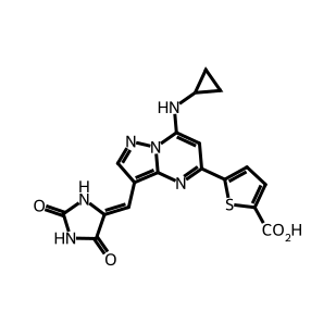 O=C1NC(=O)/C(=C/c2cnn3c(NC4CC4)cc(-c4ccc(C(=O)O)s4)nc23)N1